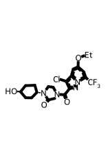 CCOc1cc(C(F)(F)F)n2nc(C(=O)N3CCN([C@H]4CC[C@H](O)CC4)C(=O)C3)c(Cl)c2c1